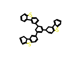 C1=CCC2C(=C1)Sc1ccc(C3=CC(C4C=Cc5sc6ccccc6c5C4)=CC(c4ccc5sc6ccccc6c5c4)C3)cc12